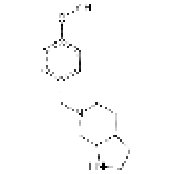 COc1ccc(CN2CCC3CCNC3C2)cc1